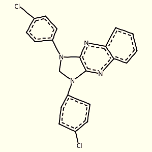 Clc1ccc(N2CN(c3ccc(Cl)cc3)c3nc4ccccc4nc32)cc1